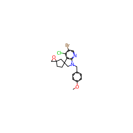 COc1ccc(CN2CC3(CCC4(CO4)C3)c3c2ncc(Br)c3Cl)cc1